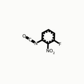 O=C=Nc1cccc(F)c1[N+](=O)[O-]